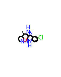 C[C@@H](c1[nH]nc2c1c(=O)[nH]c1ccc(Cl)cc12)C1CCCNC1